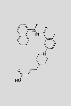 Cc1ccc(N2CCN(CCCC(=O)O)CC2)cc1C(=O)N[C@H](C)c1cccc2ccccc12